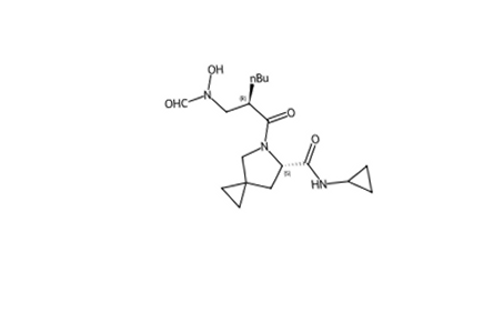 CCCC[C@H](CN(O)C=O)C(=O)N1CC2(CC2)C[C@H]1C(=O)NC1CC1